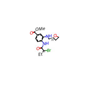 CC[C@H](Br)C(=O)Nc1ccc(C(=O)OC)cc1NC[C@@H]1CCO1